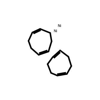 C1=CCCC=CCC1.C1=CCCC=CCC1.[Ni].[Ni]